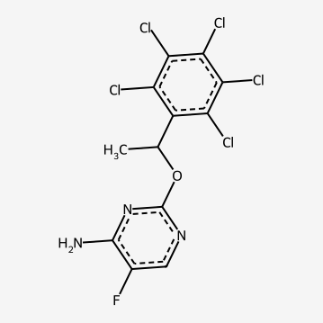 CC(Oc1ncc(F)c(N)n1)c1c(Cl)c(Cl)c(Cl)c(Cl)c1Cl